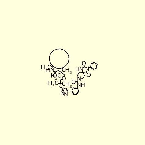 CC(C)(COCC(C)(C)Cn1cc(-c2cccc(NC(=O)N3CCC4(CC3)NC(=O)N(c3ccccc3)C4=O)c2)nn1)CC(=O)NC1(C)CCCCCCCCCCCCCCCC1